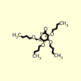 CCCCOC[C@H]1SC(=O)[C@H](OCCCC)[C@@H](OCCCC)[C@@H]1OCCCC